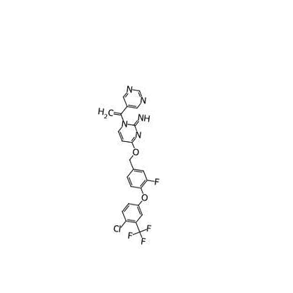 C=C(c1cncnc1)n1ccc(OCc2ccc(Oc3ccc(Cl)c(C(F)(F)F)c3)c(F)c2)nc1=N